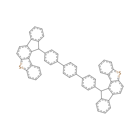 c1ccc2c(c1)-c1ccc3sc4ccccc4c3c1C2c1ccc(-c2ccc(-c3ccc(C4c5ccccc5-c5ccc6sc7ccccc7c6c54)cc3)cc2)cc1